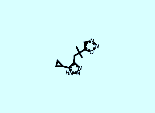 CC(C)(Cc1nn[nH]c1C1CC1)c1[c]nno1